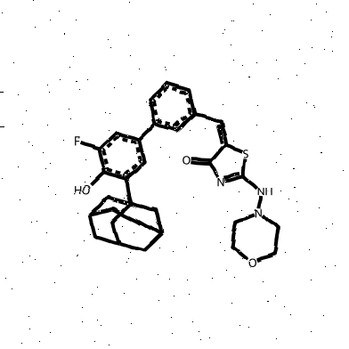 O=C1N=C(NN2CCOCC2)SC1=Cc1cccc(-c2cc(F)c(O)c(C34CC5CC(CC(C5)C3)C4)c2)c1